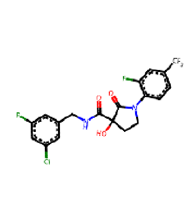 O=C(NCc1cc(F)cc(Cl)c1)C1(O)CCN(c2ccc(C(F)(F)F)cc2F)C1=O